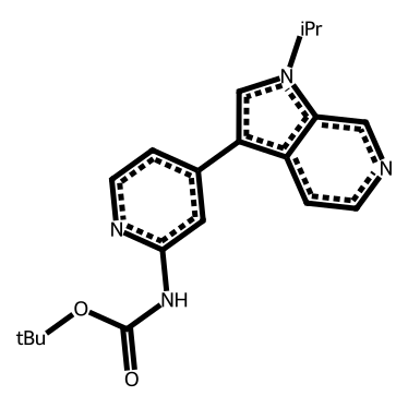 CC(C)n1cc(-c2ccnc(NC(=O)OC(C)(C)C)c2)c2ccncc21